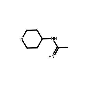 CC(=N)NC1CC[N]CC1